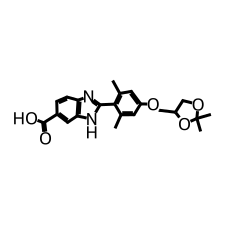 Cc1cc(OCC2COC(C)(C)O2)cc(C)c1-c1nc2ccc(C(=O)O)cc2[nH]1